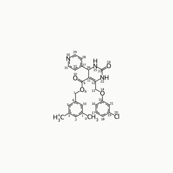 Cc1cc(C)cc(COC(=O)C2=C(COc3cccc(Cl)c3)NC(=O)NC2c2ccncc2)c1